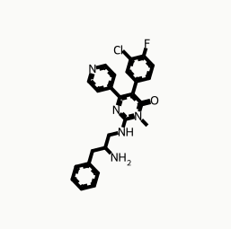 Cn1c(NCC(N)Cc2ccccc2)nc(-c2ccncc2)c(-c2ccc(F)c(Cl)c2)c1=O